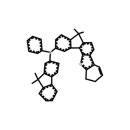 CC1(C)c2ccccc2-c2ccc(N(c3ccccc3)c3ccc4c(c3)-c3c(ccc5c6c(oc35)CCC=C6)C4(C)C)cc21